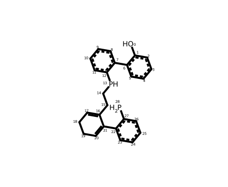 Oc1ccccc1-c1ccccc1PCCC1=CCCC=C1c1ccccc1P